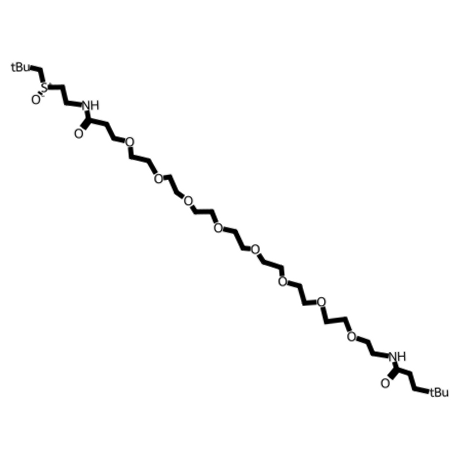 CC(C)(C)CCC(=O)NCCOCCOCCOCCOCCOCCOCCOCCOCCC(=O)NCC[S+]([O-])CC(C)(C)C